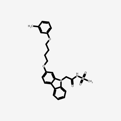 Cc1cccc(OCCCCOc2ccc3c4ccccc4n(CC(=O)NS(C)(=O)=O)c3c2)c1